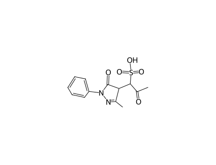 CC(=O)C(C1C(=O)N(c2ccccc2)N=C1C)S(=O)(=O)O